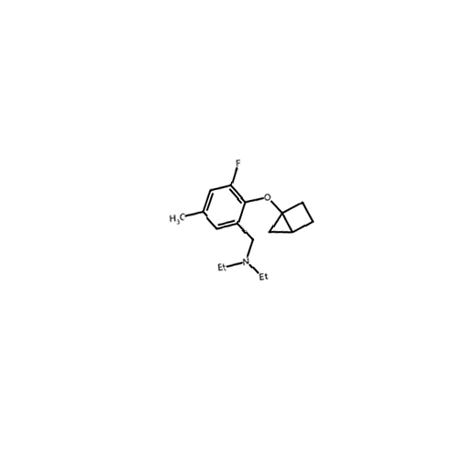 CCN(CC)Cc1cc(C)cc(F)c1OC12CCC1C2